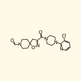 O=CN1CCC2(CC1)CC(C(=O)N1CCN(c3ncccc3Cl)CC1)=NO2